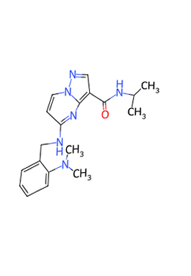 CC(C)NC(=O)c1cnn2ccc(NCc3ccccc3N(C)C)nc12